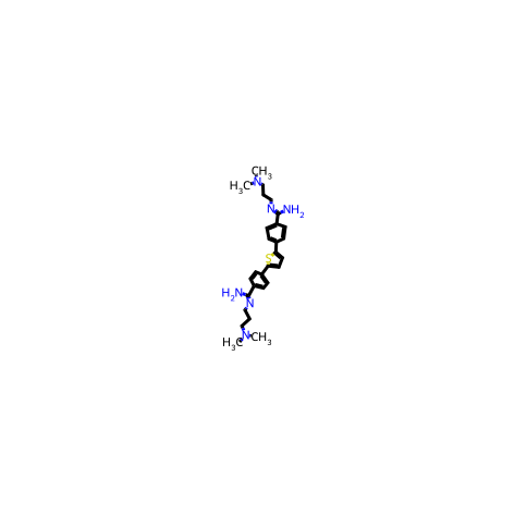 CN(C)CCCN=C(N)c1ccc(-c2ccc(-c3ccc(C(N)=NCCCN(C)C)cc3)s2)cc1